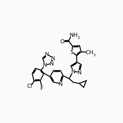 Cc1cc(C(N)=O)sc1-c1cnn(C(CC2CC2)c2ccc(-c3c(-n4cnnn4)ccc(Cl)c3F)cn2)c1